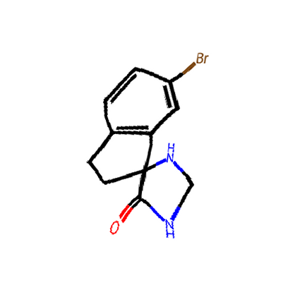 O=C1NCNC12CCc1ccc(Br)cc12